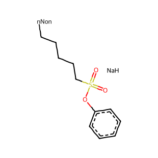 CCCCCCCCCCCCCCS(=O)(=O)Oc1ccccc1.[NaH]